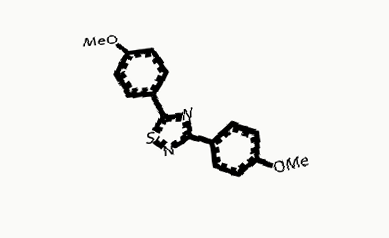 COc1ccc(-c2nsc(-c3ccc(OC)cc3)n2)cc1